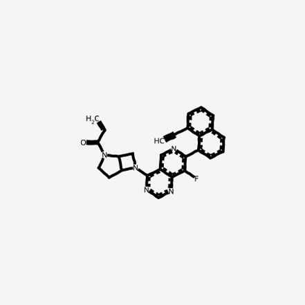 C#Cc1cccc2cccc(-c3ncc4c(N5CC6C5CCN6C(=O)C=C)ncnc4c3F)c12